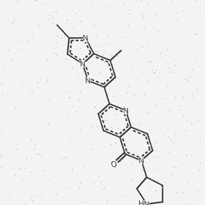 Cc1cn2nc(-c3ccc4c(=O)n(C5CCNC5)ccc4n3)cc(C)c2n1